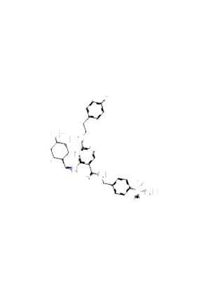 NS(=O)(=O)c1ccc(CNC(=O)c2cnc(NCCc3ccc(F)cc3)nc2/N=C\C2CCC(O)CC2)cc1